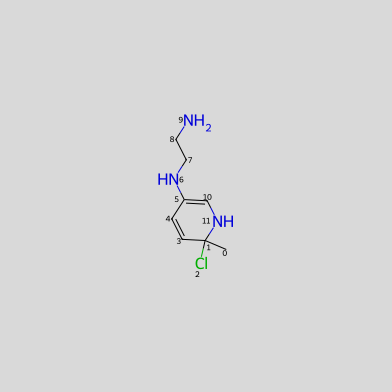 CC1(Cl)C=CC(NCCN)=CN1